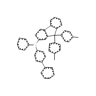 Cc1ccc(C2(c3ccc(C)cc3)c3ccccc3-c3ccc(N(c4ccccc4)c4ccc(-c5ccccc5)cc4)cc32)cc1